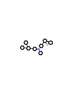 c1ccc(-c2ccc(-c3ccc(N(c4ccccc4)c4ccc(-c5cccc6c5oc5ccccc56)cc4)cc3)cc2-c2ccccc2)cc1